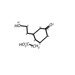 CC(=O)O.O=C1CCCC(CCO)C1